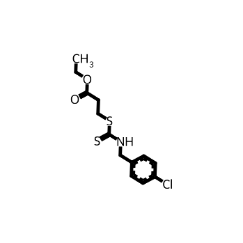 CCOC(=O)CCSC(=S)NCc1ccc(Cl)cc1